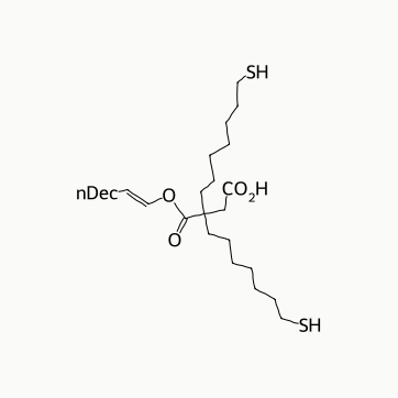 CCCCCCCCCCC=COC(=O)C(CCCCCCCS)(CCCCCCCS)CC(=O)O